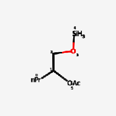 CCCC(CO[SiH3])OC(C)=O